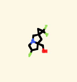 OC[C@@]12C[C@@H](F)CN1C[C@]1(CC1(F)F)C2